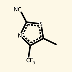 Cc1sc(C#N)nc1C(F)(F)F